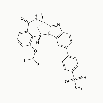 CS(=N)(=O)c1ccc(-c2ccc3nc4n(c3c2)[C@H]2C[C@@H]4NC(=O)c3cccc(OC(F)F)c32)cc1